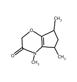 CC1CC(C)C2=C1OCC(=O)N2C